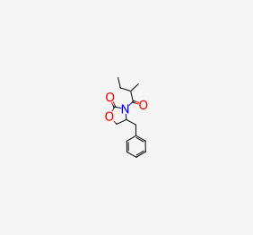 CCC(C)C(=O)N1C(=O)OCC1Cc1ccccc1